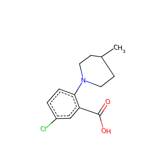 CC1CCN(c2ccc(Cl)cc2C(=O)O)CC1